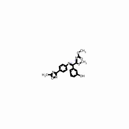 COC(=O)/N=C(SC)/C(=N/c1ccc(-c2noc(C)n2)cc1)c1cccc(O)c1